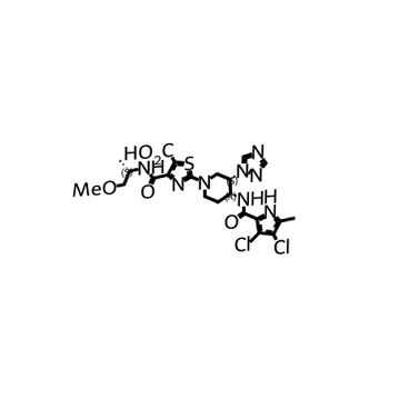 COC[C@H](C)NC(=O)c1nc(N2CC[C@@H](NC(=O)c3[nH]c(C)c(Cl)c3Cl)[C@@H](n3cncn3)C2)sc1C(=O)O